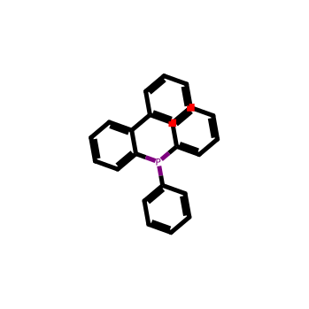 c1ccc(-c2ccccc2P(c2ccccc2)c2ccccc2)cc1